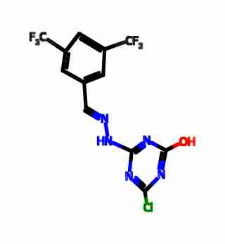 Oc1nc(Cl)nc(N/N=C/c2cc(C(F)(F)F)cc(C(F)(F)F)c2)n1